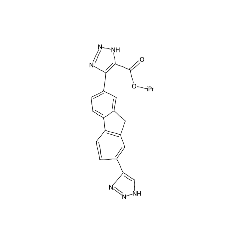 CC(C)OC(=O)c1[nH]nnc1-c1ccc2c(c1)Cc1cc(-c3c[nH]nn3)ccc1-2